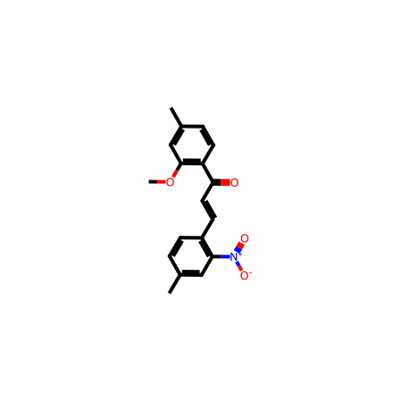 COc1cc(C)ccc1C(=O)/C=C/c1ccc(C)cc1[N+](=O)[O-]